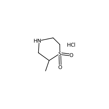 CC1CNCCS1(=O)=O.Cl